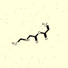 C=CC(=O)OC(=O)CNCC